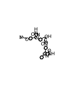 CN(C)CCCOc1ccc(-c2cn(-c3cccc(CC(C)(O)CN4CCN(c5ccc(-c6cn(-c7ccccc7)c7nc[nH]c(=O)c67)cc5)C4=O)c3)c3nc[nH]c(=O)c23)cc1